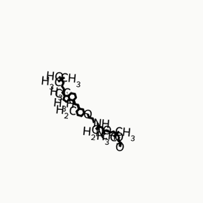 C=C1CC[C@H](OCCCNC(=O)CC(C)(N)OCCC(C)(C)OCC=O)C/C1=C/C=C1\CCC[C@]2(C)C([C@H](C)CCCC(C)(C)O)CC[C@@H]12